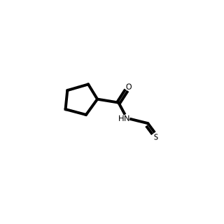 O=C(NC=S)C1CCCC1